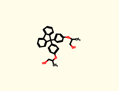 CC(CO)Oc1ccc(C2(c3ccc(OC(C)CO)cc3)c3ccccc3-c3ccccc32)cc1